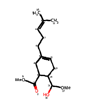 COC(=O)C1CC(CCC=C(C)C)=CCC1C(O)OC